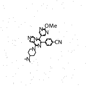 COc1ncc(-c2c(-c3ccc(C#N)cc3)nc(N3CCC(N(C)C)CC3)c3cncn23)cn1